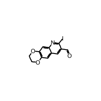 O=Cc1cc2cc3c(cc2nc1I)OCCO3